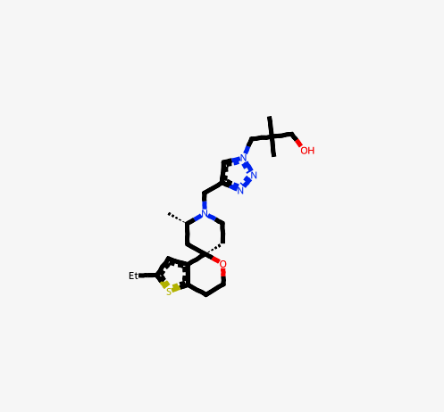 CCc1cc2c(s1)CCO[C@@]21CCN(Cc2cn(CC(C)(C)CO)nn2)[C@@H](C)C1